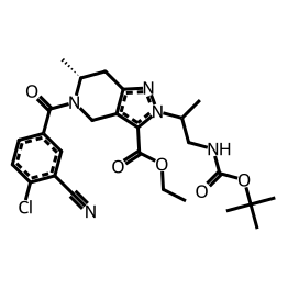 CCOC(=O)c1c2c(nn1C(C)CNC(=O)OC(C)(C)C)C[C@@H](C)N(C(=O)c1ccc(Cl)c(C#N)c1)C2